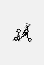 Cc1ccc2c(c1)C(C)(C)C(/C=C/C=C1/N(CCC3CCCCC3)c3ccc(OC(F)(F)F)cc3C1(C)C)=[N+]2CCC1CCCCC1